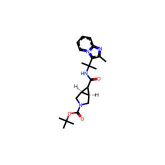 Cc1nc2ccccn2c1C(C)(C)NC(=O)C1[C@H]2CN(C(=O)OC(C)(C)C)C[C@@H]12